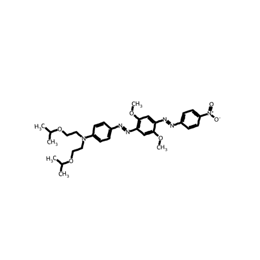 COc1cc(/N=N/c2ccc([N+](=O)[O-])cc2)c(OC)cc1/N=N/c1ccc(N(CCOC(C)C)CCOC(C)C)cc1